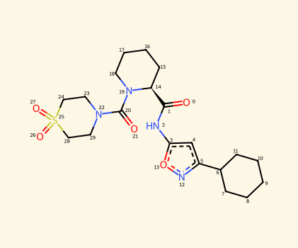 O=C(Nc1cc(C2CCCCC2)no1)[C@@H]1CCCCN1C(=O)N1CCS(=O)(=O)CC1